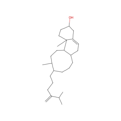 C=C(CCCC1CCCC2CC=C3CC(O)CCC3(C)C2CCC1C)C(C)C